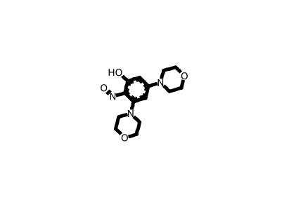 O=Nc1c(O)cc(N2CCOCC2)cc1N1CCOCC1